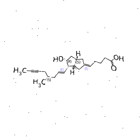 CC#CC[C@@H](C)C/C=C/C1[C@H](O)C[C@@H]2C/C(=C\CCCC(=O)O)C[C@H]12